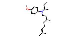 CCC(C)N(CCC(C)CCC=C(C)C)c1ccc(OC)cc1